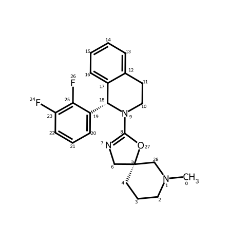 CN1CCC[C@@]2(CN=C(N3CCc4ccccc4[C@H]3c3cccc(F)c3F)O2)C1